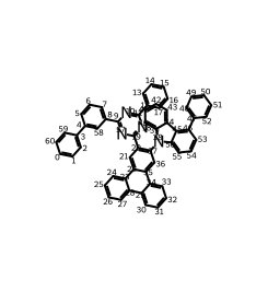 c1ccc(-c2cccc(-c3nc(-c4ccccc4)nc(-c4cc5c6ccccc6c6ccccc6c5cc4-n4c5ccccc5c5c(-c6ccccc6)cccc54)n3)c2)cc1